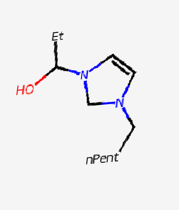 CCCCCCN1C=CN(C(O)CC)C1